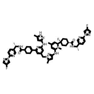 CC1=CC([C@]2(F)CC[C@H](C(=O)N[C@@H](C)c3ccc(-n4cc(F)cn4)nc3)CC2)N(C)C(Nc2cc(C)n(Cc3cc(Nc4cc(C)[nH]n4)nc(C4=CCC(C(=O)N[C@@H](C)c5ccc(-n6cc(F)cn6)nc5)CC4)c3)n2)=C1